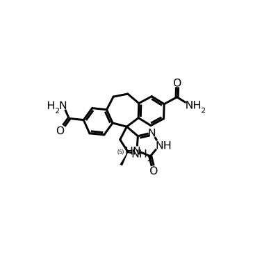 C[C@H](N)CC1(c2n[nH]c(=O)[nH]2)c2ccc(C(N)=O)cc2CCc2cc(C(N)=O)ccc21